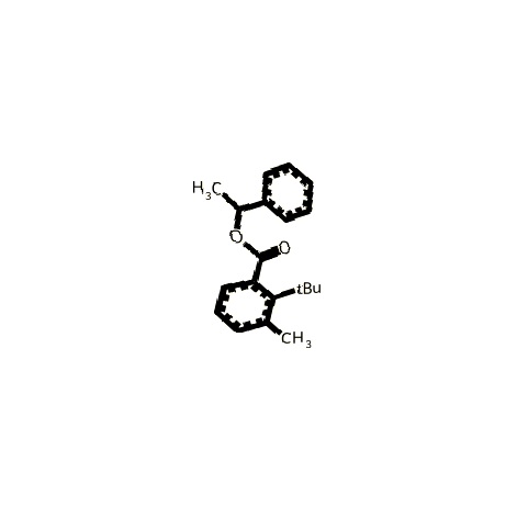 Cc1cccc(C(=O)OC(C)c2ccccc2)c1C(C)(C)C